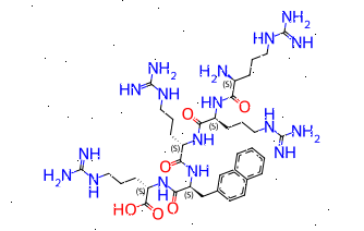 N=C(N)NCCC[C@H](NC(=O)[C@H](Cc1ccc2ccccc2c1)NC(=O)[C@H](CCCNC(=N)N)NC(=O)[C@H](CCCNC(=N)N)NC(=O)[C@@H](N)CCCNC(=N)N)C(=O)O